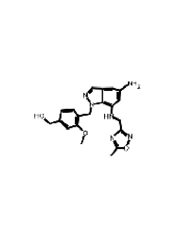 COc1cc(CO)ccc1Cn1ncc2cc(N)cc(NCc3noc(C)n3)c21